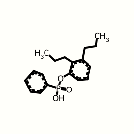 CCCc1cccc(OP(=O)(O)c2ccccc2)c1CCC